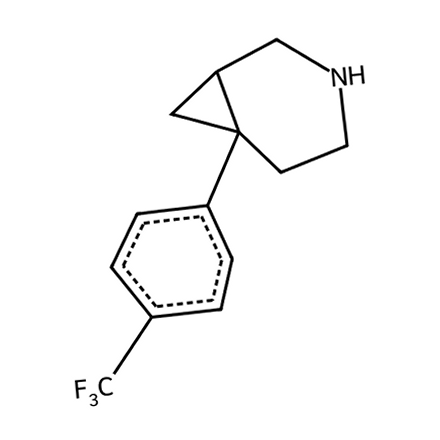 FC(F)(F)c1ccc(C23CCNCC2C3)cc1